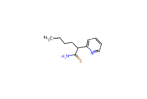 CCCCC(C(N)=S)c1ccccn1